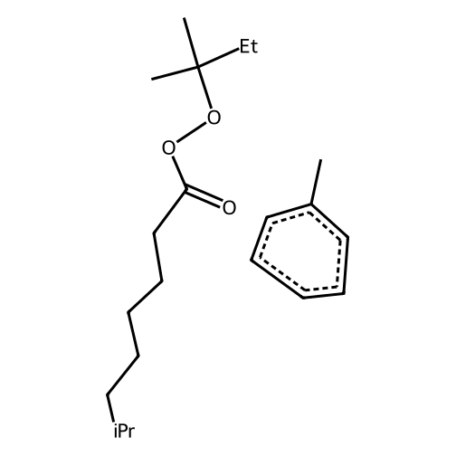 CCC(C)(C)OOC(=O)CCCCCC(C)C.Cc1ccccc1